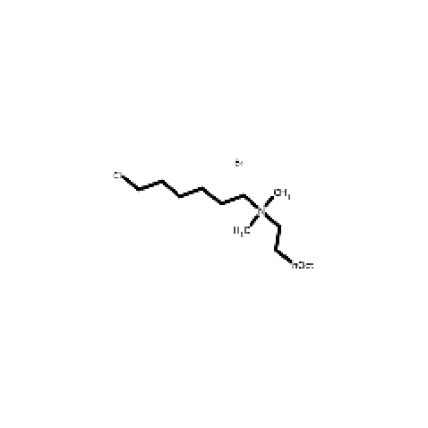 CCCCCCCCCC[N+](C)(C)CCCCCCCl.[Br-]